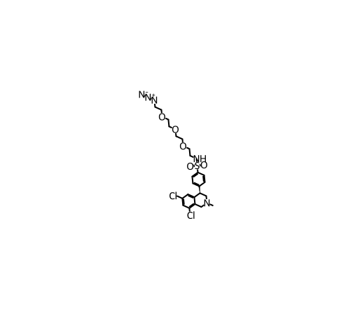 CN1Cc2c(Cl)cc(Cl)cc2[C@@H](c2ccc(S(=O)(=O)NCCOCCOCCOCCN=[N+]=[N-])cc2)C1